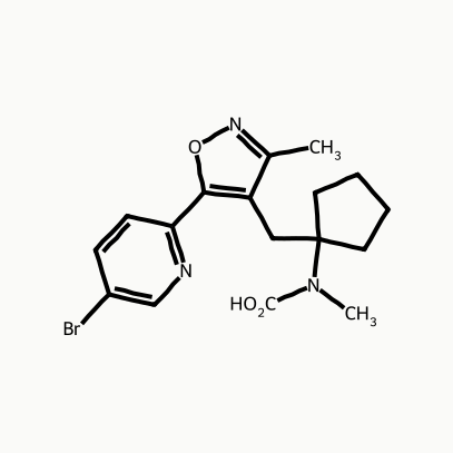 Cc1noc(-c2ccc(Br)cn2)c1CC1(N(C)C(=O)O)CCCC1